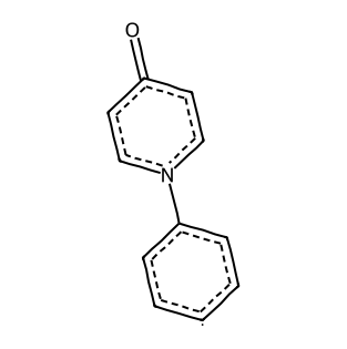 O=c1ccn(-c2cc[c]cc2)cc1